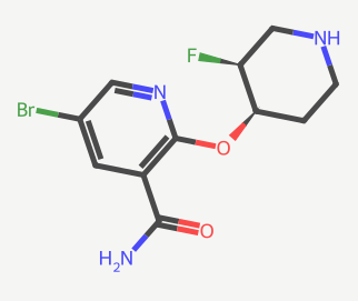 NC(=O)c1cc(Br)cnc1O[C@@H]1CCNC[C@@H]1F